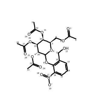 CC(=O)OC[C@H]1OC(Oc2c(CO)cccc2[N+](=O)[O-])[C@H](OC(C)=O)[C@@H](OC(C)=O)[C@H]1OC(C)=O